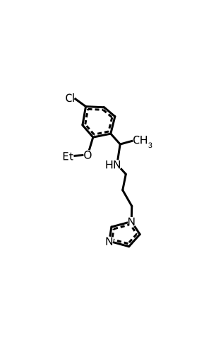 CCOc1cc(Cl)ccc1C(C)NCCCn1ccnc1